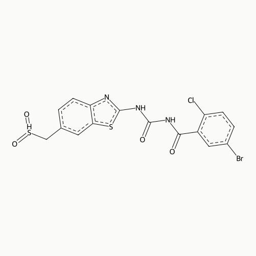 O=C(NC(=O)c1cc(Br)ccc1Cl)Nc1nc2ccc(C[SH](=O)=O)cc2s1